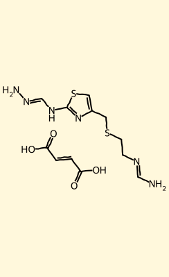 NC=NCCSCc1csc(NC=NN)n1.O=C(O)C=CC(=O)O